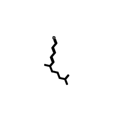 CC(C)CCCC(C)C=CC=CC=O